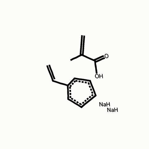 C=C(C)C(=O)O.C=Cc1ccccc1.[NaH].[NaH]